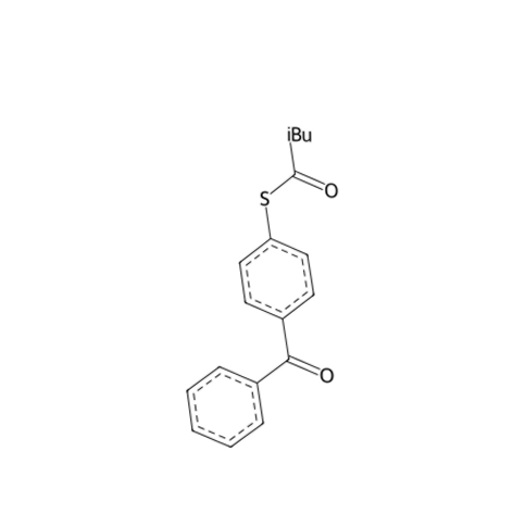 CCC(C)C(=O)Sc1ccc(C(=O)c2ccccc2)cc1